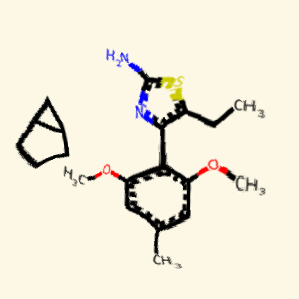 C1CC2CC2C1.CCc1sc(N)nc1-c1c(OC)cc(C)cc1OC